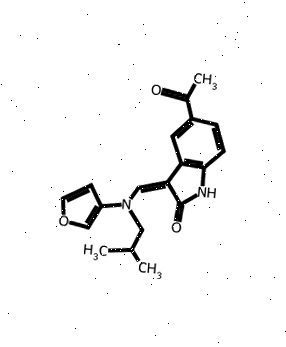 CC(=O)c1ccc2c(c1)C(=CN(CC(C)C)c1ccoc1)C(=O)N2